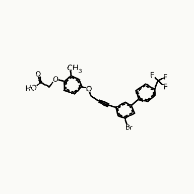 Cc1cc(OCC#Cc2cc(Br)cc(-c3ccc(C(F)(F)F)cc3)c2)ccc1OCC(=O)O